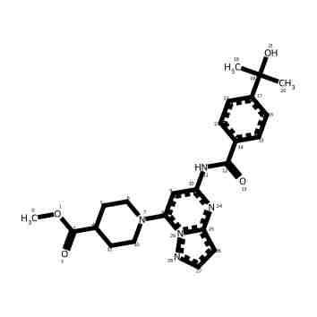 COC(=O)C1CCN(c2cc(NC(=O)c3ccc(C(C)(C)O)cc3)nc3ccnn23)CC1